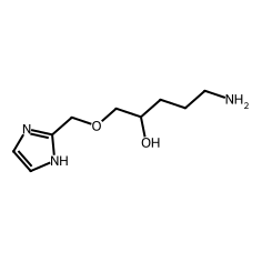 NCCCC(O)COCc1ncc[nH]1